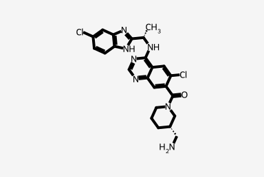 C[C@H](Nc1ncnc2cc(C(=O)N3CCC[C@@H](CN)C3)c(Cl)cc12)c1nc2cc(Cl)ccc2[nH]1